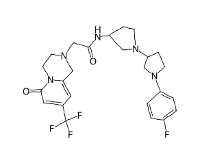 O=C(CN1CCn2c(cc(C(F)(F)F)cc2=O)C1)NC1CCN(C2CCN(c3ccc(F)cc3)C2)C1